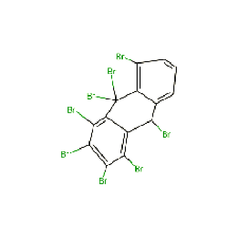 Brc1cccc2c1C(Br)(Br)c1c(Br)c(Br)c(Br)c(Br)c1C2Br